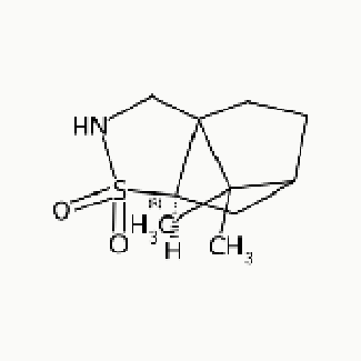 CC1(C)C2CCC13CNS(=O)(=O)[C@@H]3C2